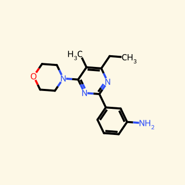 CCc1nc(-c2cccc(N)c2)nc(N2CCOCC2)c1C